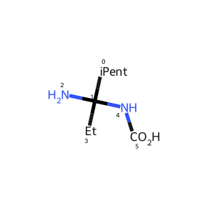 CCCC(C)C(N)(CC)NC(=O)O